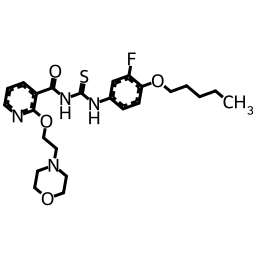 CCCCCOc1ccc(NC(=S)NC(=O)c2cccnc2OCCN2CCOCC2)cc1F